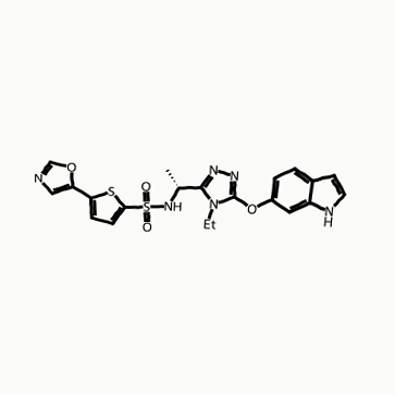 CCn1c(Oc2ccc3cc[nH]c3c2)nnc1[C@@H](C)NS(=O)(=O)c1ccc(-c2cnco2)s1